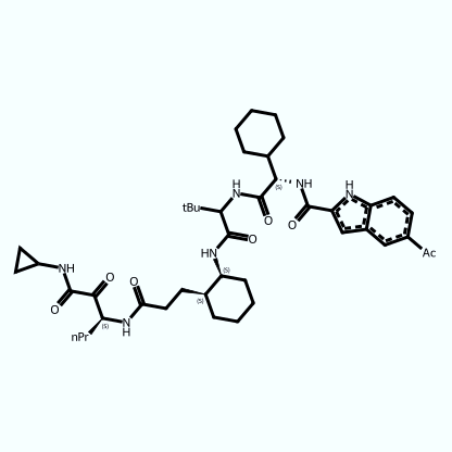 CCC[C@H](NC(=O)CC[C@@H]1CCCC[C@@H]1NC(=O)C(NC(=O)[C@@H](NC(=O)c1cc2cc(C(C)=O)ccc2[nH]1)C1CCCCC1)C(C)(C)C)C(=O)C(=O)NC1CC1